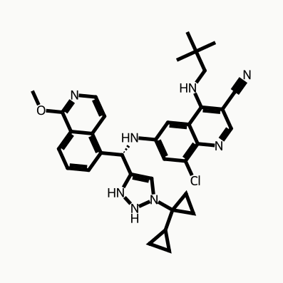 COc1nccc2c([C@H](Nc3cc(Cl)c4ncc(C#N)c(NCC(C)(C)C)c4c3)C3=CN(C4(C5CC5)CC4)NN3)cccc12